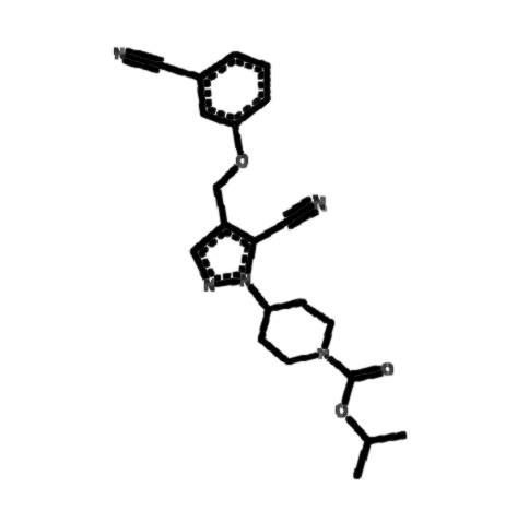 CC(C)OC(=O)N1CCC(n2ncc(COc3cccc(C#N)c3)c2C#N)CC1